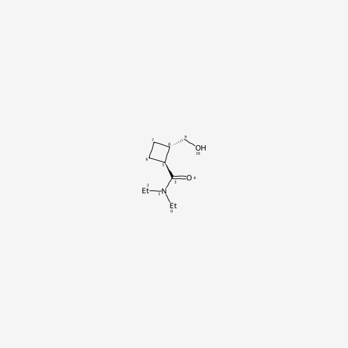 CCN(CC)C(=O)[C@H]1CC[C@@H]1CO